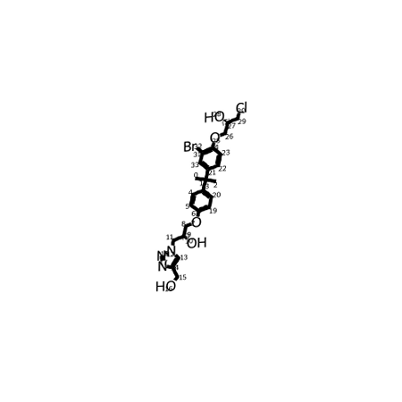 CC(C)(c1ccc(OC[C@@H](O)Cn2cc(CO)nn2)cc1)c1ccc(OC[C@H](O)CCl)c(Br)c1